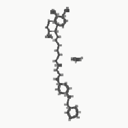 Cl.Cl.NC1CCc2c(ccc(O)c2O)C1CCCCCCNCCOc1ccc(OCc2ccccc2)cc1